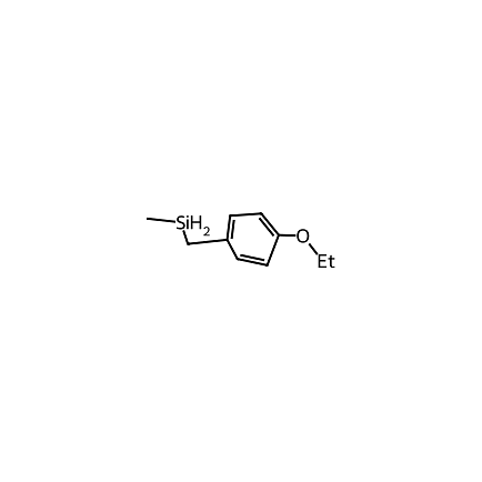 CCOc1ccc(C[SiH2]C)cc1